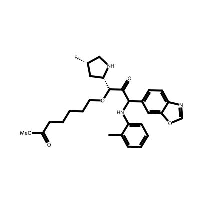 COC(=O)CCCCCOC(C(=O)C(Nc1ccccc1C)c1ccc2ncoc2c1)[C@@H]1C[C@H](F)CN1